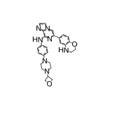 c1cn2cc(-c3ccc4c(c3)NCCO4)nc(Nc3ccc(N4CCN(C5COC5)CC4)cc3)c2n1